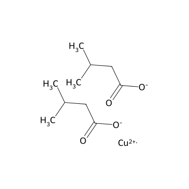 CC(C)CC(=O)[O-].CC(C)CC(=O)[O-].[Cu+2]